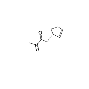 CNC(=O)C[C@H]1C=CCC1